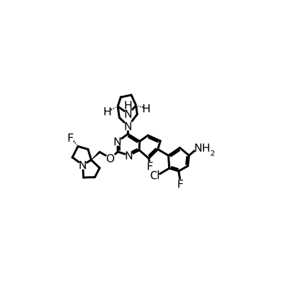 Nc1cc(F)c(Cl)c(-c2ccc3c(N4C[C@H]5CC[C@@H](C4)N5)nc(OC[C@@]45CCCN4C[C@H](F)C5)nc3c2F)c1